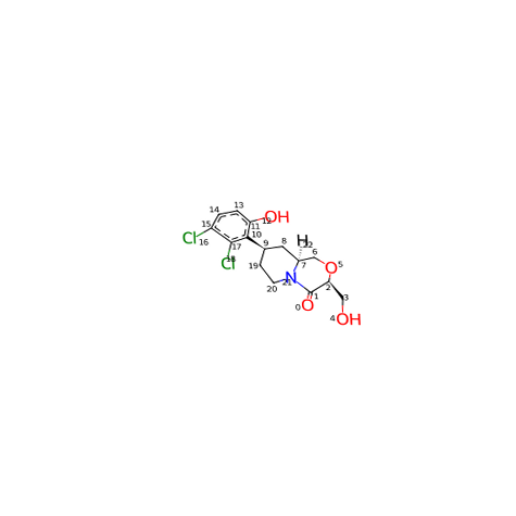 O=C1[C@H](CO)OC[C@@H]2C[C@H](c3c(O)ccc(Cl)c3Cl)CCN12